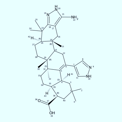 CC1(C)C[C@@H]2C3=C(c4cn[nH]c4)CC4[C@@]5(C)Cc6c(n[nH]c6N)C(C)(C)[C@@H]5CC[C@@]4(C)[C@]3(C)CC[C@@H]2[C@H](C(=O)O)C1